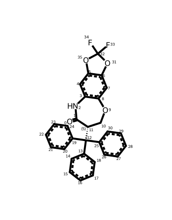 O=C1Nc2cc3c(cc2OC[C@@H]1C(c1ccccc1)(c1ccccc1)c1ccccc1)OC(F)(F)O3